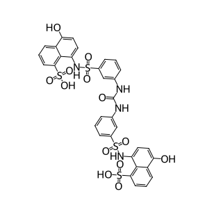 O=C(Nc1cccc(S(=O)(=O)Nc2ccc(O)c3cccc(S(=O)(=O)O)c23)c1)Nc1cccc(S(=O)(=O)Nc2ccc(O)c3cccc(S(=O)(=O)O)c23)c1